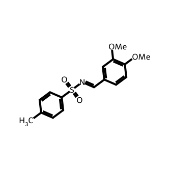 COc1ccc(C=NS(=O)(=O)c2ccc(C)cc2)cc1OC